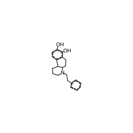 Oc1ccc2c(c1O)CCC1C2CCCN1CCc1ccccc1